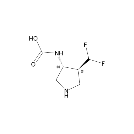 O=C(O)N[C@H]1CNC[C@@H]1C(F)F